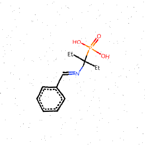 CCC(CC)(N=Cc1ccccc1)P(=O)(O)O